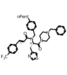 CCCCCc1ccc(CN(C(=O)/C=C/c2ccc(C(F)(F)F)cc2)[C@@H](Cc2cscn2)C(=O)N2CCN(Cc3ccccc3)CC2)cc1